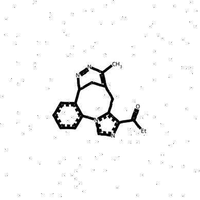 CCC(=O)c1ncn2c1CC1=C(C)N=NC(C1)c1ccccc1-2